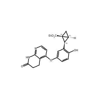 CCOC(=O)[C@@]12C[C@H]1[C@H]2c1cc(Oc2ccnc3c2CCC(=O)N3)ccc1O